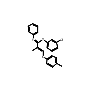 CC(=C\Oc1ccc(C)cc1)/C(=N/c1ccccc1)Oc1cccc(Cl)c1